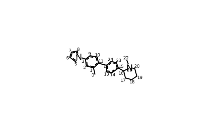 Cc1cc(-n2cccc2)ccc1-c1ccc(C2CCCCN2C)cc1